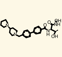 C[C@@H](O)[C@H](NC(=O)c1ccc(-c2ccc(CN3CCC(N4CCCCC4)CC3)cc2)cc1)C(=O)NO